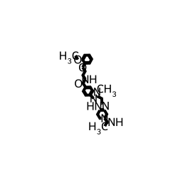 COc1ccccc1OCCNC(=O)c1ccc2nc(Cc3nc4c([nH]3)CCN(C(C)=N)C4)n(C)c2c1